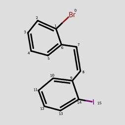 Brc1ccccc1/C=C\c1ccccc1I